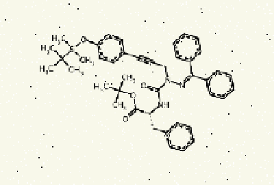 CC(C)(C)OC(=O)[C@@H](Cc1ccccc1)NC(=O)N(CC#Cc1ccc(O[Si](C)(C)C(C)(C)C)cc1)N=C(c1ccccc1)c1ccccc1